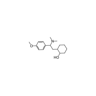 COc1ccc(C(CC2CCCCC2O)N(C)C)cc1